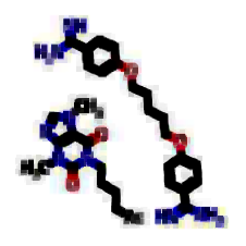 CC(=O)CCCCn1c(=O)c2c(ncn2C)n(C)c1=O.N=C(N)c1ccc(OCCCCCOc2ccc(C(=N)N)cc2)cc1